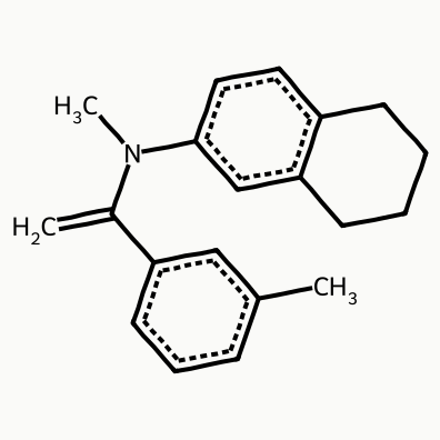 C=C(c1cccc(C)c1)N(C)c1ccc2c(c1)CCCC2